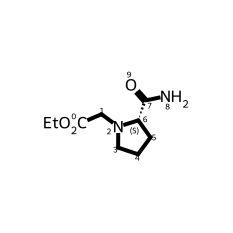 CCOC(=O)CN1CCC[C@H]1C(N)=O